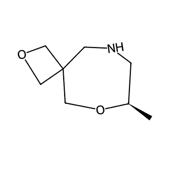 C[C@@H]1CNCC2(COC2)CO1